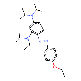 CCOc1ccc(N=Nc2ccc(N(C(C)C)C(C)C)cc2N(C(C)C)C(C)C)cc1